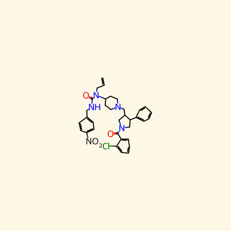 C=CCN(C(=O)NCc1ccc([N+](=O)[O-])cc1)C1CCN(CC2CN(C(=O)c3ccccc3Cl)CC2c2ccccc2)CC1